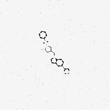 C[C@@H]1CC(Cn2ccc3cc(-c4cn[nH]n4)ccc32)CN1S(=O)(=O)c1ccccc1